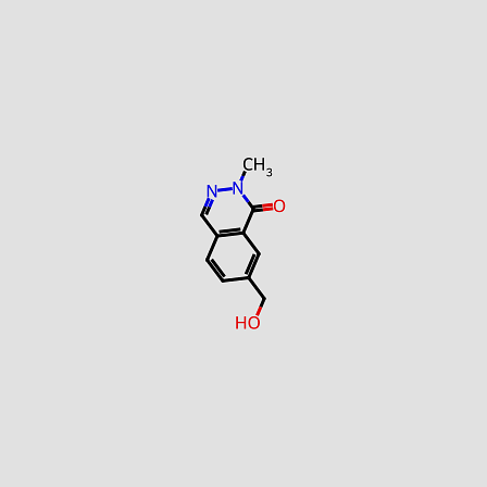 Cn1ncc2ccc(CO)cc2c1=O